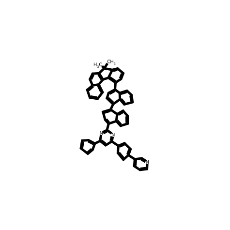 CC1(C)c2cccc(-c3ccc(-c4ccc(-c5nc(-c6ccccc6)cc(-c6ccc(-c7cccnc7)cc6)n5)c5ccccc45)c4ccccc34)c2-c2c1ccc1ccccc21